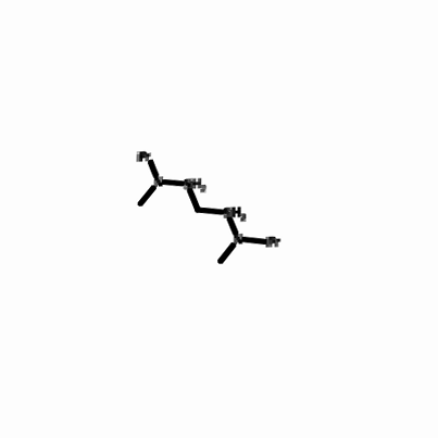 CC(C)N(C)[SiH2]C[SiH2]N(C)C(C)C